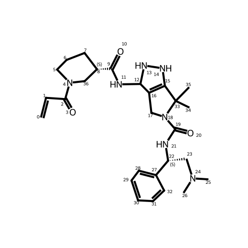 C=CC(=O)N1CCC[C@H](C(=O)NC2NNC3=C2CN(C(=O)N[C@H](CN(C)C)c2ccccc2)C3(C)C)C1